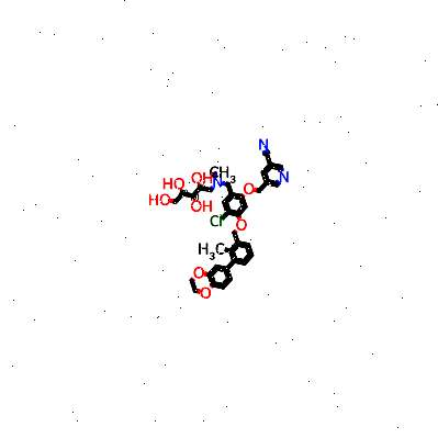 Cc1c(COc2cc(OCc3cncc(C#N)c3)c(CN(C)C[C@H](O)[C@H](O)[C@H](O)CO)cc2Cl)cccc1-c1ccc2c(c1)OCCO2